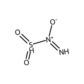 N=[N+]([O-])[SH](=O)=O